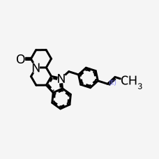 C/C=C/c1ccc(Cn2c3c(c4ccccc42)CCN2C(=O)CCCC32)cc1